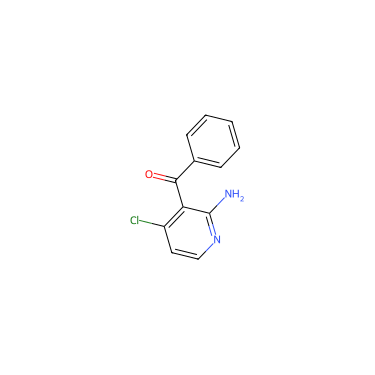 Nc1nccc(Cl)c1C(=O)c1ccccc1